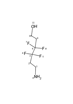 NCCC(F)(F)C(F)(F)CCO